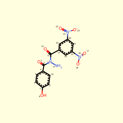 NN(C(=O)c1ccc(O)cc1)C(=O)c1cc([N+](=O)[O-])cc([N+](=O)[O-])c1